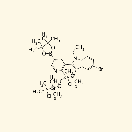 CCn1c(-c2cc(B3OC(C)(C)C(C)(C)O3)cnc2C(C)OC)c(CC(C)(C)CO[Si](C)(C)C(C)(C)C)c2cc(Br)ccc21